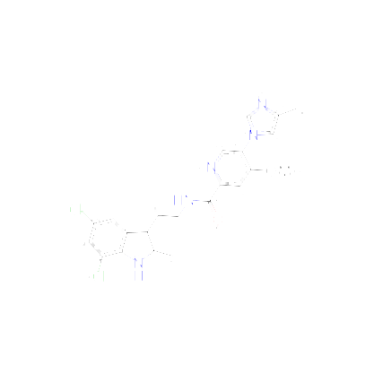 COc1cc(C(=O)NCCC2c3cc(Cl)cc(Cl)c3NC2C)ncc1-n1cnc(C)c1